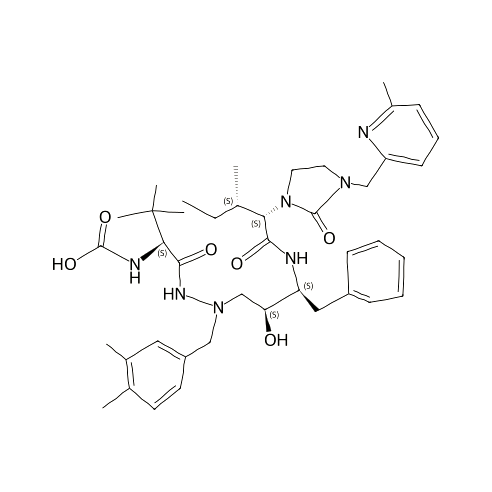 CC[C@H](C)[C@@H](C(=O)N[C@@H](Cc1ccccc1)[C@@H](O)CN(Cc1ccc(C)c(C)c1)NC(=O)[C@@H](NC(=O)O)C(C)(C)C)N1CCN(Cc2cccc(C)n2)C1=O